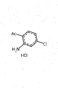 CC(=O)c1ccc(Cl)cc1N.Cl